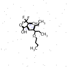 C\C=C(/C(=C\C(=C\CC)C(CC)OCCCC)C(=O)O)C(F)(F)F